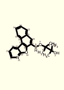 CC(C)(O)C(C)(C)OBc1cc2ccccc2c2c1oc1ncccc12